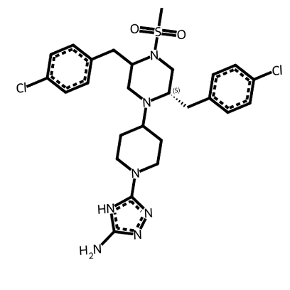 CS(=O)(=O)N1C[C@H](Cc2ccc(Cl)cc2)N(C2CCN(c3nnc(N)[nH]3)CC2)CC1Cc1ccc(Cl)cc1